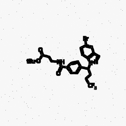 CC(C)(C)OC(=O)CCNC(=O)c1ccc(C(CCC(F)(F)F)n2ncc3cc(Br)ccc32)cc1